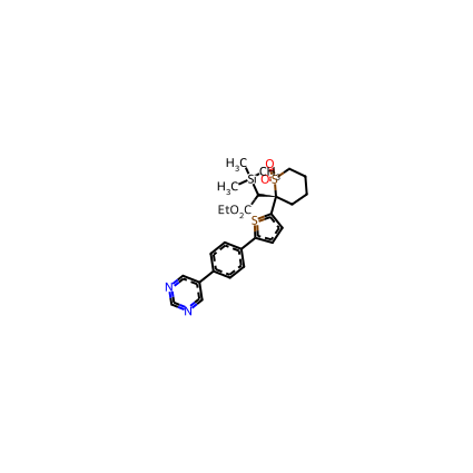 CCOC(=O)C([C@]1(c2ccc(-c3ccc(-c4cncnc4)cc3)s2)CCCCS1(=O)=O)[Si](C)(C)C